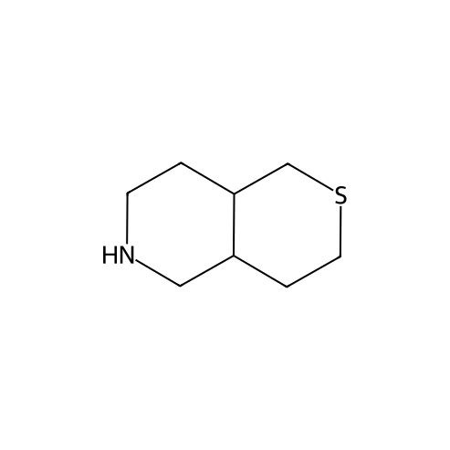 C1CC2CSCCC2CN1